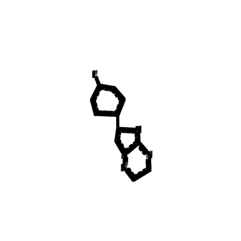 Fc1ccc(-c2cn3nccnc3n2)cc1